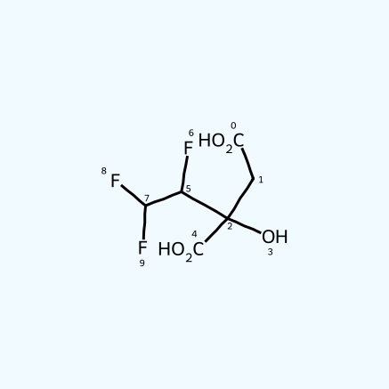 O=C(O)CC(O)(C(=O)O)C(F)C(F)F